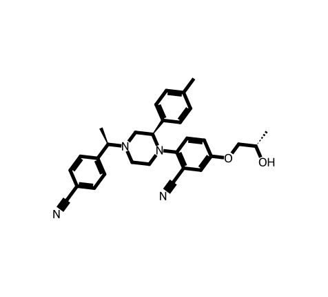 Cc1ccc([C@@H]2CN([C@H](C)c3ccc(C#N)cc3)CCN2c2ccc(OC[C@H](C)O)cc2C#N)cc1